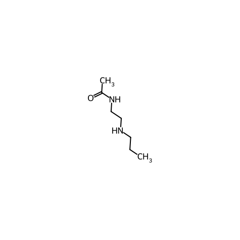 CCCNCCNC(C)=O